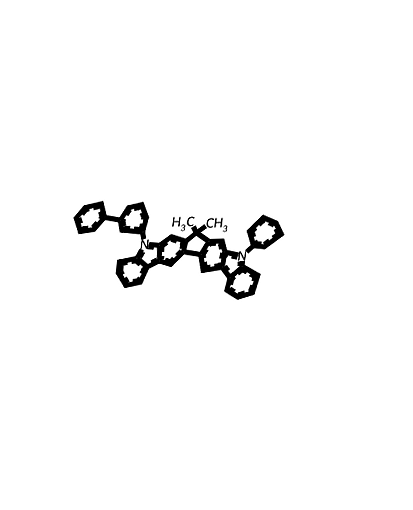 CC1(C)c2cc3c(cc2-c2cc4c5ccccc5n(-c5cccc(-c6ccccc6)c5)c4cc21)c1ccccc1n3-c1ccccc1